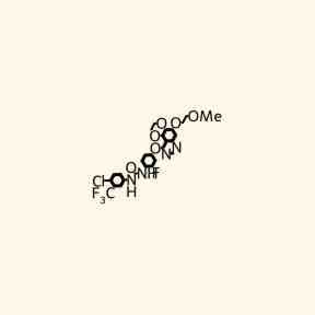 COCCOc1cc2ncnc(Oc3ccc(NC(=O)Nc4ccc(Cl)c(C(F)(F)F)c4)c(F)c3)c2c2c1OCCO2